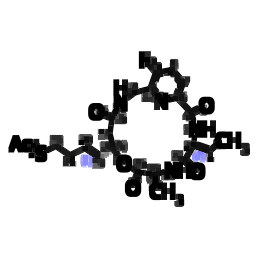 C/C=C1\NC(=O)c2ccc(F)c(n2)CNC(=O)C[C@@H](/C=C/CCSC(C)=O)OC(=O)[C@H](C)NC1=O